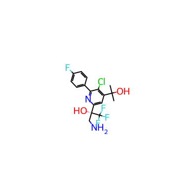 CC(C)(O)c1cc([C@](O)(CN)C(F)(F)F)nc(-c2ccc(F)cc2)c1Cl